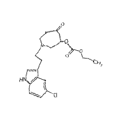 CCOC(=O)OC1CN(CCc2c[nH]c3ccc(Cl)cc23)CCC1=O